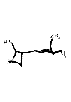 CC(C)=CCC1CNC1C